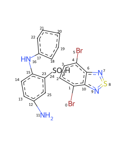 Brc1ccc(Br)c2nsnc12.Nc1ccc(Nc2ccccc2)c(S(=O)(=O)O)c1